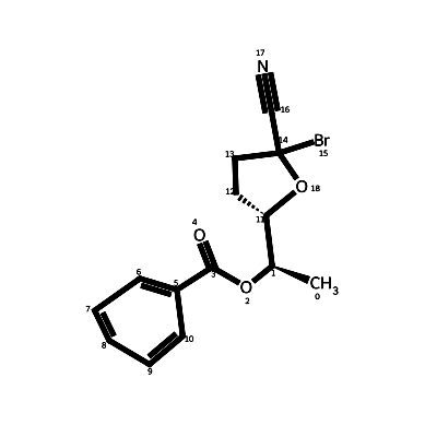 C[C@@H](OC(=O)c1ccccc1)[C@@H]1CCC(Br)(C#N)O1